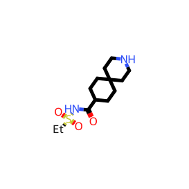 CCS(=O)(=O)NC(=O)C1CCC2(CCNCC2)CC1